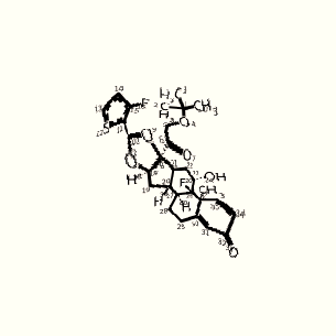 CC(C)(C)OCC(=O)[C@@]12O[C@H](c3sccc3F)O[C@@H]1C[C@@H]1C2C[C@H](O)[C@@]2(F)[C@H]1CCC1=CC(=O)C=C[C@@]12C